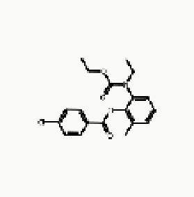 CCOC(=O)N(CC)c1cccc(C)c1OC(=O)c1ccc(Cl)cc1